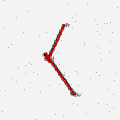 CCCOCCOCCOCCOCCOCCOCCOCCOCCOCCOCCOCCOCCC(=O)N[C@@H](Cc1ccc(OCCOCCOCCOCCOCCOCCOCCOCCOCCOCCOCCOCCOCCC(=O)OC(C)(C)C)cc1)C(=O)OCc1ccccc1